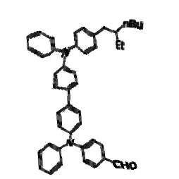 CCCCC(CC)Cc1ccc(N(c2ccccc2)c2ccc(-c3ccc(N(c4ccccc4)c4ccc(C=O)cc4)cc3)cc2)cc1